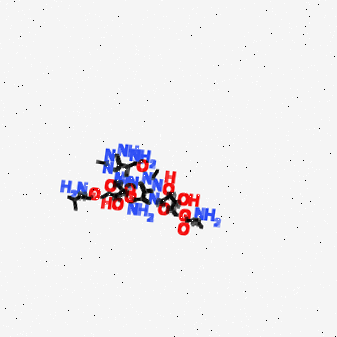 Cc1nc(NO[C@@H]2[C@H](O)C(COC[C@@H](N)C(C)C)O[C@H]2n2cc(C(N)=O)c3c(N)nc(C)nc32)c2c(C(N)=O)cn([C@@H]3O[C@H](COC(=O)[C@H](C)N)[C@@H](O)[C@H]3O)c2n1